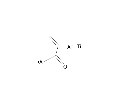 C=C[C](=O)[Al].[Al].[Ti]